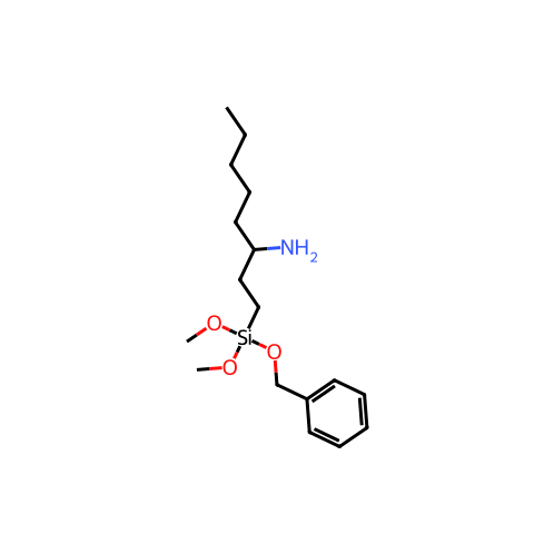 CCCCCC(N)CC[Si](OC)(OC)OCc1ccccc1